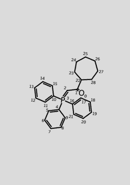 O=C(C=P(c1ccccc1)(c1ccccc1)c1ccccc1)C1CCCCCC1